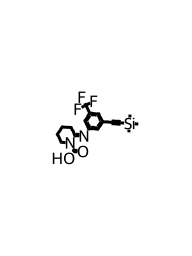 C[Si](C)(C)C#Cc1cc(N=C2CCCCN2C(=O)O)cc(C(F)(F)F)c1